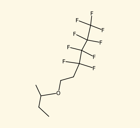 CCC(C)OCCC(F)(F)C(F)(F)C(F)(F)C(F)(F)F